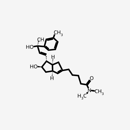 Cc1cccc([C@](C)(O)/C=C/[C@@H]2[C@H]3CC(CCCCC(=O)N(C)C)=C[C@H]3C[C@H]2O)c1